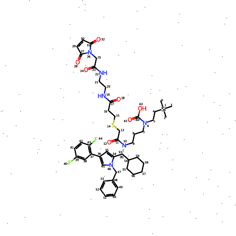 C[Si](C)(C)CCN(CCCN(C(=O)CSCCC(=O)NCCNC(=O)CN1C(=O)C=CC1=O)[C@@H](c1cc(-c2cc(F)ccc2F)cn1Cc1ccccc1)C1CCCCC1)C(=O)O